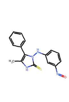 Cc1[nH]c(=S)n(Nc2cccc(N=O)c2)c1-c1ccccc1